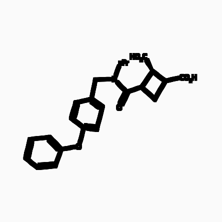 CCCN(Cc1ccc(Oc2ccccc2)cc1)C(=O)C1CC(C(=O)O)[C@@H]1C(=O)O